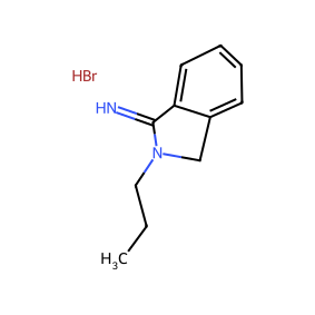 Br.CCCN1Cc2ccccc2C1=N